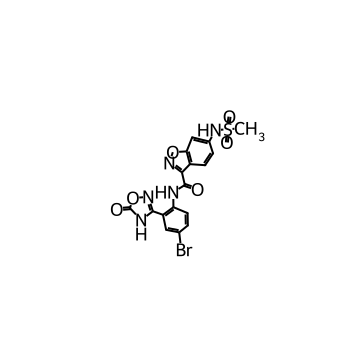 CS(=O)(=O)Nc1ccc2c(C(=O)Nc3ccc(Br)cc3-c3noc(=O)[nH]3)noc2c1